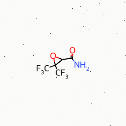 NC(=O)C1OC1(C(F)(F)F)C(F)(F)F